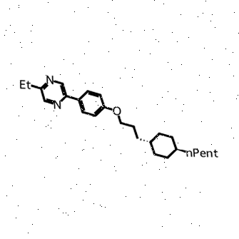 CCCCC[C@H]1CC[C@H](CCCOc2ccc(-c3cnc(CC)cn3)cc2)CC1